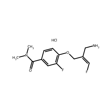 CN(C)C(=O)c1ccc(OC/C(=C\F)CN)c(F)c1.Cl